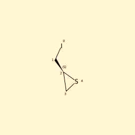 IC[C@@H]1CS1